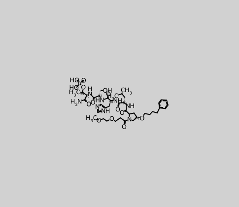 COCCOCCC(=O)N1C[C@H](OCCCCc2ccccc2)CC1C(=O)N[C@@H](CC(C)C)C(=O)N[C@@H](Cc1cnc[nH]1)C(=O)N[C@@H](CO)C(=O)N[C@H](C(N)=O)[C@@H](C)OP(=O)(O)O